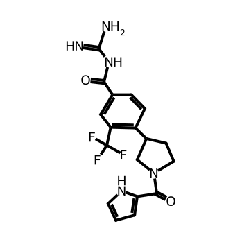 N=C(N)NC(=O)c1ccc(C2CCN(C(=O)c3ccc[nH]3)C2)c(C(F)(F)F)c1